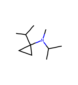 CC(C)N(C)C1(C(C)C)CC1